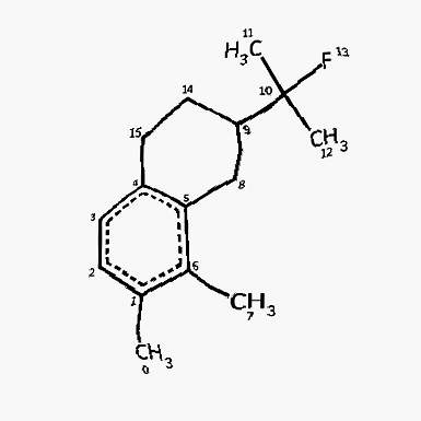 Cc1ccc2c(c1C)CC(C(C)(C)F)CC2